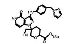 CC(C)(C)OC(=O)C1CCC(CC#N)(n2nc(Nc3ccc(Cn4nccn4)cc3)c3c(=O)[nH]ccc32)CO1